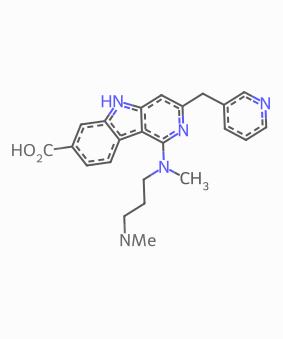 CNCCCN(C)c1nc(Cc2cccnc2)cc2[nH]c3cc(C(=O)O)ccc3c12